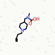 C#CCCN1CCC(CN(C)C(=O)O)CC1